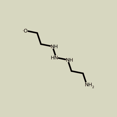 NCCNNNCC[O]